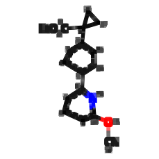 CCOC(=O)C1(c2ccc(-c3cccc(OC#N)n3)cc2)CC1